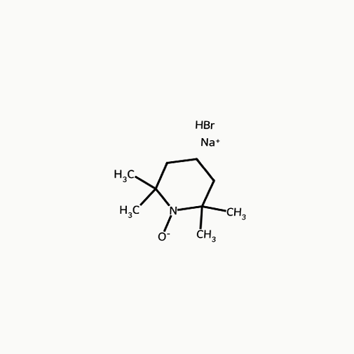 Br.CC1(C)CCCC(C)(C)N1[O-].[Na+]